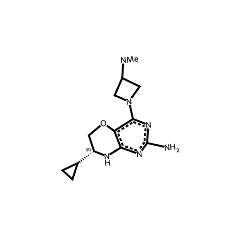 CNC1CN(c2nc(N)nc3c2OC[C@@H](C2CC2)N3)C1